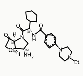 CCN1CCN(c2ccc(C(=O)N[C@H](C(=O)N3C[C@H](N)[C@H]4OCC(=O)[C@H]43)C3CCCCC3)cc2)CC1